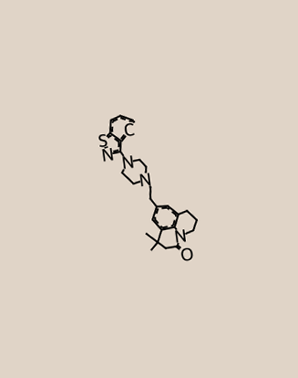 CC1(C)CC(=O)N2CCCc3cc(CCN4CCN(c5nsc6ccccc56)CC4)cc1c32